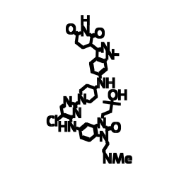 CNCCn1c(=O)n(CCC(C)(C)O)c2cc(Nc3nc(N4CCC(Nc5ccc6c(C7CCC(=O)NC7=O)nn(C)c6c5)CC4)ncc3Cl)ccc21